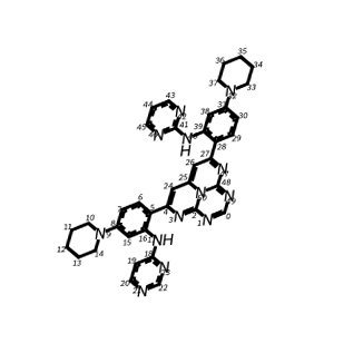 C1=NC2=NC(c3ccc(N4CCCCC4)cc3Nc3ccncn3)=CC3=CC(c4ccc(N5CCCCC5)cc4Nc4ncccn4)=NC(=N1)N32